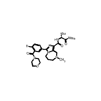 CNC(=O)[C@@H](NC(=O)c1nc(-c2ccc(F)c(C(=O)N3CCOCC3)c2)n2c1CN(C)CCC2)C(C)(C)C